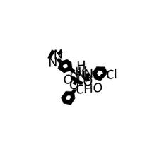 CN1CCN=C1c1ccc(NC(=O)C(CC=O)(NC(=O)Nc2ccc(Cl)cc2)OCc2ccccc2)cc1